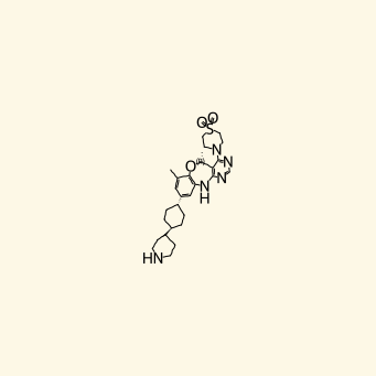 Cc1cc([C@H]2CC[C@H](C3CCNCC3)CC2)cc2c1O[C@H](C)c1c(ncnc1N1CCS(=O)(=O)CC1)N2